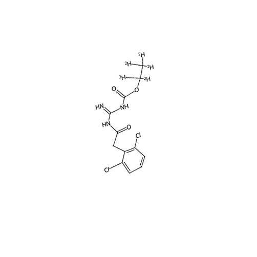 [2H]C([2H])([2H])C([2H])([2H])OC(=O)NC(=N)NC(=O)Cc1c(Cl)cccc1Cl